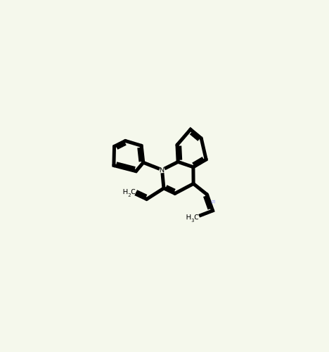 C=CC1=CC(/C=C\C)c2ccccc2N1c1ccccc1